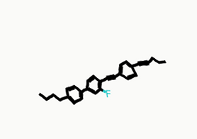 CCCC#Cc1ccc(C#Cc2ccc(-c3ccc(CCCC)cc3)cc2F)cc1